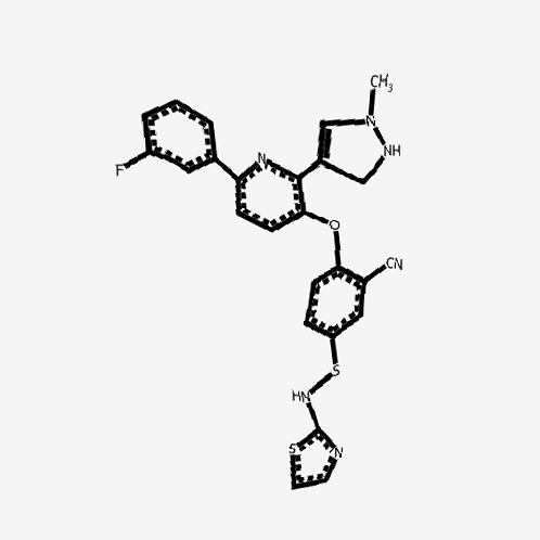 CN1C=C(c2nc(-c3cccc(F)c3)ccc2Oc2ccc(SNc3nccs3)cc2C#N)CN1